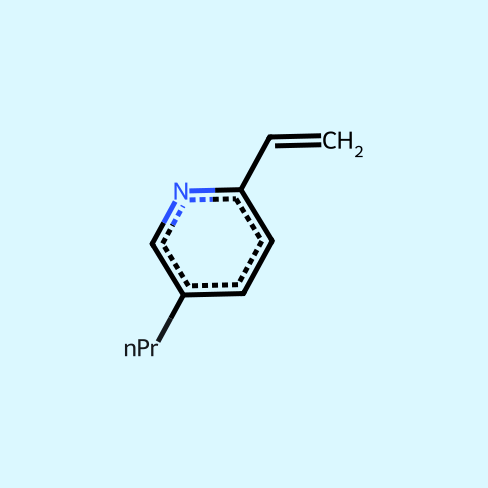 C=Cc1ccc(CCC)cn1